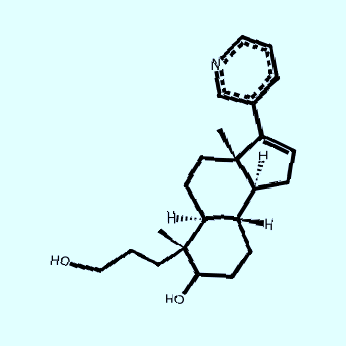 C[C@]1(CCCO)C(O)CC[C@@H]2[C@@H]1CC[C@]1(C)C(c3cccnc3)=CC[C@@H]21